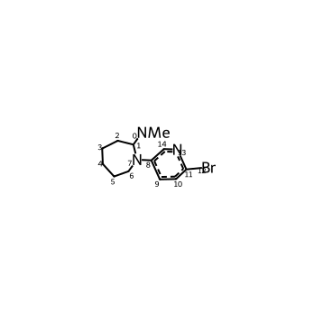 CNC1CCCCCN1c1ccc(Br)nc1